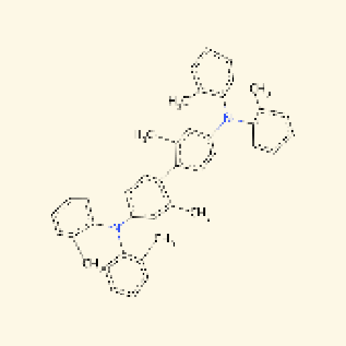 Cc1cc(N(c2ccccc2C)c2ccccc2C)ccc1-c1ccc(N(c2ccccc2C)c2ccccc2C)cc1C